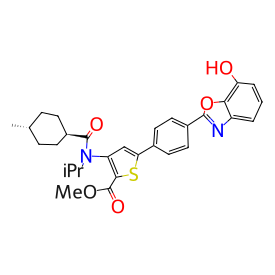 COC(=O)c1sc(-c2ccc(-c3nc4cccc(O)c4o3)cc2)cc1N(C(=O)[C@H]1CC[C@H](C)CC1)C(C)C